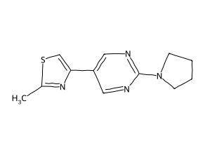 Cc1nc(-c2cnc(N3CCCC3)nc2)cs1